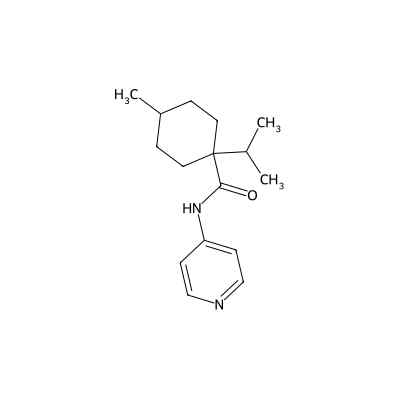 CC1CCC(C(=O)Nc2ccncc2)(C(C)C)CC1